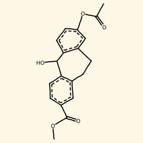 COC(=O)c1ccc2c(c1)CCc1cc(OC(C)=O)ccc1C2O